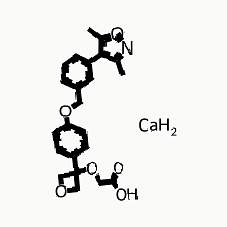 Cc1noc(C)c1-c1cccc(COc2ccc(C3(OCC(=O)O)COC3)cc2)c1.[CaH2]